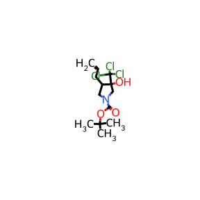 C=CCC1CN(C(=O)OC(C)(C)C)CC1(O)C(Cl)(Cl)Cl